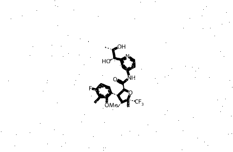 COc1c([C@@H]2[C@@H](C(=O)Nc3ccnc([C@H](O)[C@H](C)O)c3)O[C@](C)(C(F)(F)F)[C@@H]2C)ccc(F)c1C